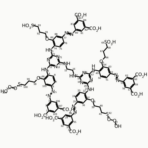 O=C(O)c1cc(N=Nc2ccc(Nc3nc(NCCNc4nc(Nc5ccc(N=Nc6cc(C(=O)O)cc(C(=O)O)c6)cc5OCCCSOOO)nc(Nc5ccc(N=Nc6cc(C(=O)O)cc(C(=O)O)c6)cc5OCCCS(=O)(=O)O)n4)nc(Nc4ccc(N=Nc5cc(C(=O)O)cc(C(=O)O)c5)cc4OCCCS(=O)(=O)O)n3)c(OCCCSOOO)c2)cc(C(=O)O)c1